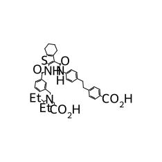 CCC(CC)N(CC(=O)O)Cc1cccc(C(=O)Nc2sc3c(c2C(=O)Nc2ccc(CCc4ccc(C(=O)O)cc4)cc2)CCCC3)c1